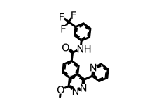 COc1nnc(-c2ccccn2)c2cc(C(=O)Nc3cccc(C(F)(F)F)c3)ccc12